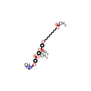 C=CC(=O)OCCCCCCCCCCCCOc1ccc(C(=O)Oc2ccc(OC(=O)c3ccc(OCC[n+]4ccn(C=C)c4)cc3)c(C)c2C)cc1